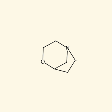 [CH]1CC2CN1CCO2